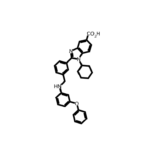 O=C(O)c1ccc2c(c1)nc(-c1cccc(CNc3cccc(Oc4ccccc4)c3)c1)n2C1CCCCC1